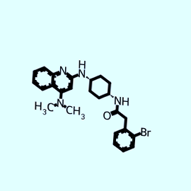 CN(C)c1cc(N[C@H]2CC[C@@H](NC(=O)Cc3ccccc3Br)CC2)nc2ccccc12